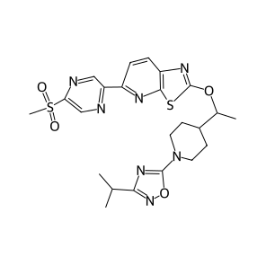 CC(C)c1noc(N2CCC(C(C)Oc3nc4ccc(-c5cnc(S(C)(=O)=O)cn5)nc4s3)CC2)n1